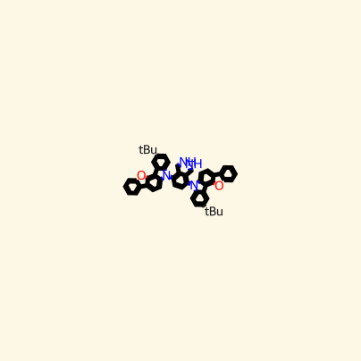 CC(C)(C)c1ccc2c(c1)c1c3oc4ccccc4c3ccc1n2-c1ccc(-n2c3ccc(C(C)(C)C)cc3c3c4oc5ccccc5c4ccc32)c(C=N)c1C=N